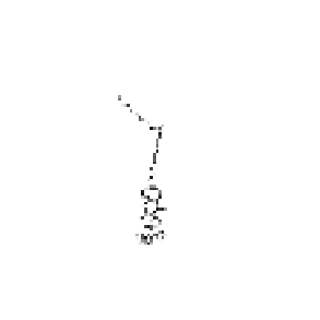 CCCCCCCCC(C)CCCCCCCC[C@@H]1CCc2c(cc(C)c(OC(C)C(=O)O)c2C)O1